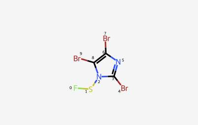 FSn1c(Br)nc(Br)c1Br